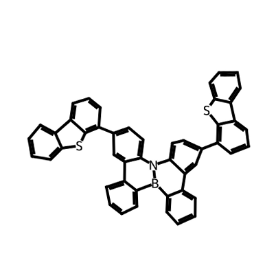 c1ccc2c(c1)B1c3ccccc3-c3cc(-c4cccc5c4sc4ccccc45)ccc3N1c1ccc(-c3cccc4c3sc3ccccc34)cc1-2